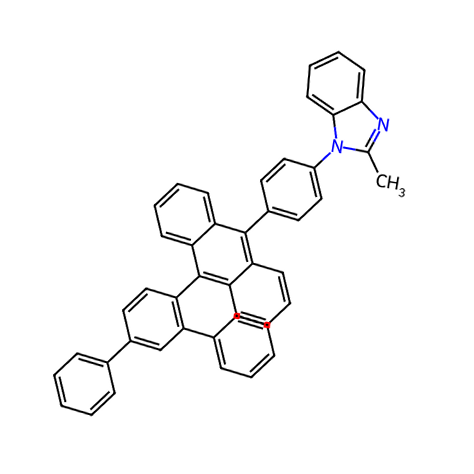 Cc1nc2ccccc2n1-c1ccc(-c2c3ccccc3c(-c3ccc(-c4ccccc4)cc3-c3ccccc3)c3ccccc23)cc1